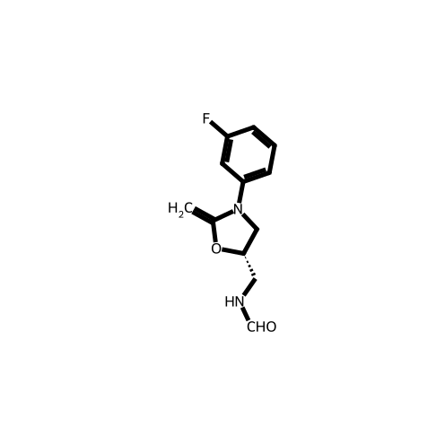 C=C1O[C@@H](CNC=O)CN1c1cccc(F)c1